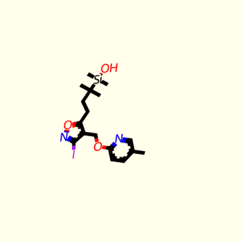 Cc1ccc(OCc2c(I)noc2CCC(C)(C)[Si](C)(C)O)nc1